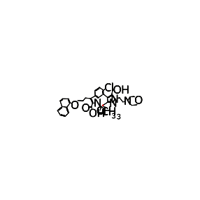 CCc1nn(CCN2CCOCC2)c(CO)c1-c1c(Cl)ccc2c(CCCOc3cccc4ccccc34)c(C(=O)O)n(CC)c12